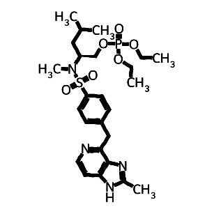 CCOP(=O)(OCC)OC[C@H](CC(C)C)N(C)S(=O)(=O)c1ccc(Cc2nccc3[nH]c(C)nc23)cc1